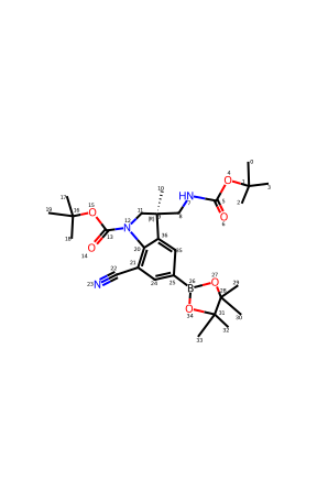 CC(C)(C)OC(=O)NC[C@]1(C)CN(C(=O)OC(C)(C)C)c2c(C#N)cc(B3OC(C)(C)C(C)(C)O3)cc21